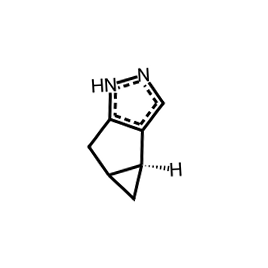 c1n[nH]c2c1[C@H]1CC1C2